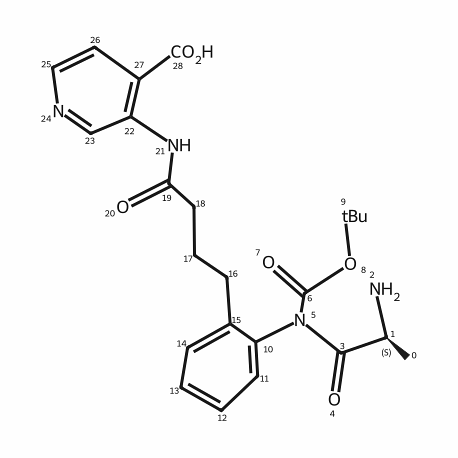 C[C@H](N)C(=O)N(C(=O)OC(C)(C)C)c1ccccc1CCCC(=O)Nc1cnccc1C(=O)O